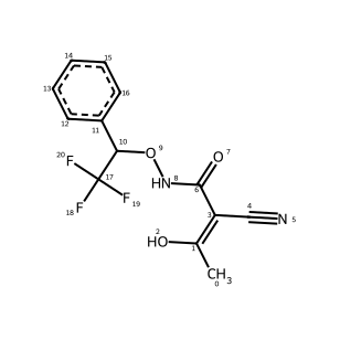 CC(O)=C(C#N)C(=O)NOC(c1ccccc1)C(F)(F)F